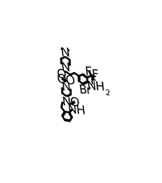 CN(C)C1CCN(C(=O)C(Cc2cc(Br)c(N)c(C(F)(F)F)c2)OC(=O)N2CCC(N3CCc4ccccc4NC3=O)CC2)CC1